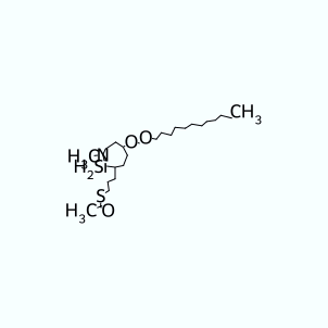 CCCCCCCCCCCCOCOC1CCC(CCCSC(C)=O)[SiH2]N(C)CC1